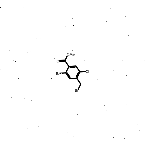 COC(=O)c1cc(Cl)c(CBr)cc1Br